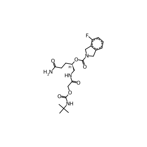 CC(C)(C)NC(=O)OCC(=O)NC[C@@H](CCC(N)=O)OC(=O)N1Cc2cccc(F)c2C1